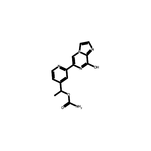 CC(OC(N)=O)c1ccnc(-c2cn3ccnc3c(O)n2)c1